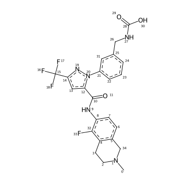 CN1CCc2c(ccc(NC(=O)c3cc(C(F)(F)F)nn3-c3cccc(CNC(=O)O)c3)c2F)C1